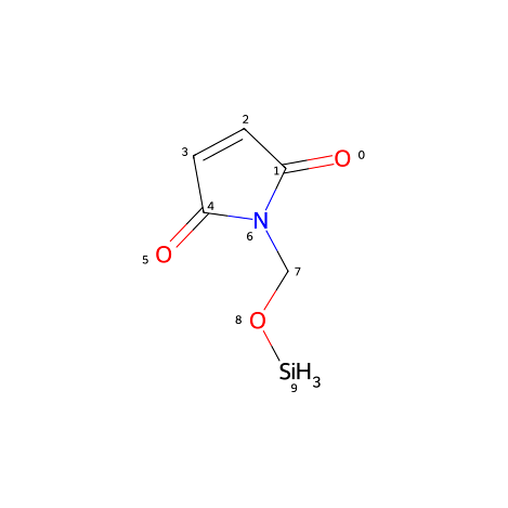 O=C1C=CC(=O)N1CO[SiH3]